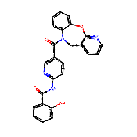 O=C(Nc1ccc(C(=O)N2Cc3cccnc3Oc3ccccc32)cn1)c1ccccc1O